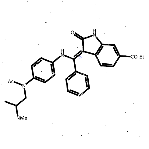 CCOC(=O)c1ccc2c(c1)NC(=O)/C2=C(\Nc1ccc(N(CC(C)NC)C(C)=O)cc1)c1ccccc1